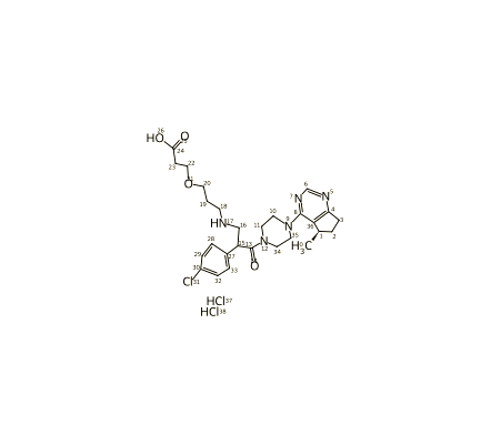 C[C@@H]1CCc2ncnc(N3CCN(C(=O)C(CNCCCOCCC(=O)O)c4ccc(Cl)cc4)CC3)c21.Cl.Cl